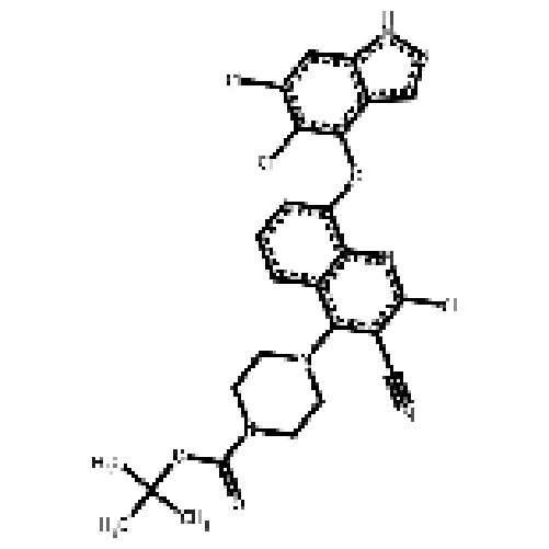 CC(C)(C)OC(=O)N1CCN(c2c(C#N)c(Cl)nc3c(Oc4c(Cl)c(Cl)cc5[nH]ncc45)cccc23)CC1